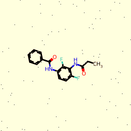 CCC(=O)Nc1c(F)ccc(NC(=O)c2ccccc2)c1F